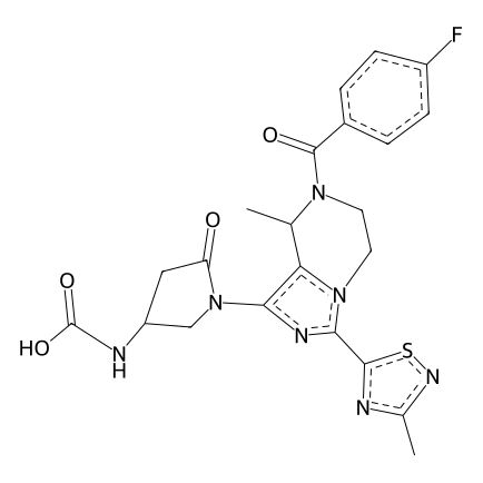 Cc1nsc(-c2nc(N3CC(NC(=O)O)CC3=O)c3n2CCN(C(=O)c2ccc(F)cc2)C3C)n1